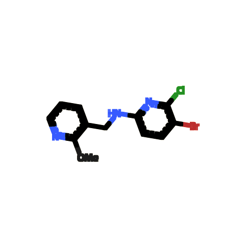 COc1ncccc1CNc1ccc(Br)c(Cl)n1